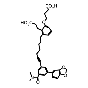 CN(C)C(=O)c1cc(C#CCCCCCc2cccc(OCCCC(=O)O)c2CCC(=O)O)cc(-c2ccc3c(c2)OCO3)c1